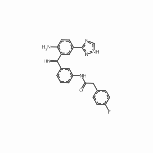 N=C(c1cccc(NC(=O)Cc2ccc(F)cc2)c1)c1cc(-c2nc[nH]n2)ccc1N